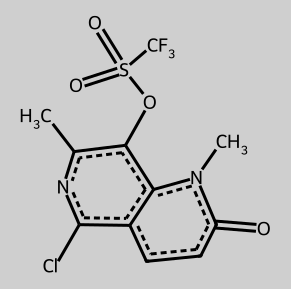 Cc1nc(Cl)c2ccc(=O)n(C)c2c1OS(=O)(=O)C(F)(F)F